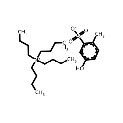 CCCC[N+](CCCC)(CCCC)CCCC.Cc1ccc(O)cc1S(=O)(=O)[O-]